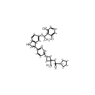 C[C@@H](Oc1ccc2[nH]nc(-c3ccc(N4CC(N)(CC(=O)N5CCCC5)C4)nn3)c2c1)c1c(Cl)cncc1Cl